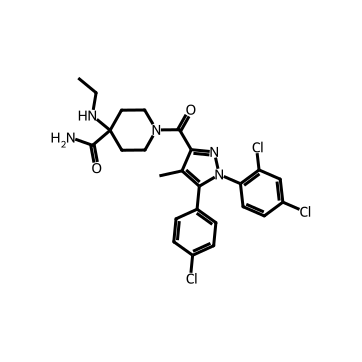 CCNC1(C(N)=O)CCN(C(=O)c2nn(-c3ccc(Cl)cc3Cl)c(-c3ccc(Cl)cc3)c2C)CC1